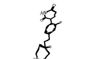 O=C1CCC(c2ccc(CCC3(F)CCNCC3)cc2F)C(=O)N1